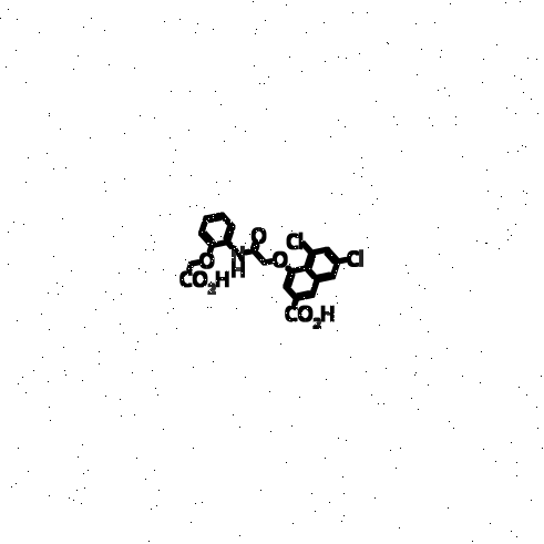 O=C(O)COc1ccccc1NC(=O)COc1cc(C(=O)O)cc2cc(Cl)cc(Cl)c12